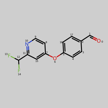 O=Cc1ccc(Oc2ccnc(C(F)F)c2)cc1